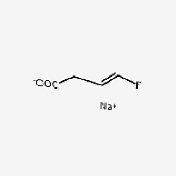 O=C([O-])CC=CF.[Na+]